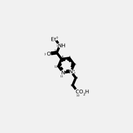 CCNC(=O)c1cc[n+](CCC(=O)O)nc1